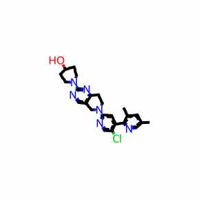 Cc1cnc(-c2cc(N3CCc4nc(N5CCC(O)CC5)ncc4C3)ncc2Cl)c(C)c1